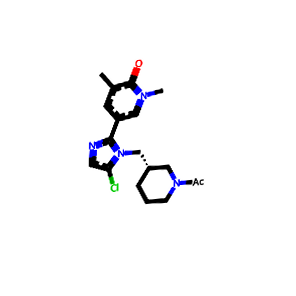 CC(=O)N1CCC[C@H](Cn2c(Cl)cnc2-c2cc(C)c(=O)n(C)c2)C1